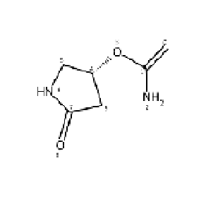 C=C(N)O[C@H]1CNC(=O)C1